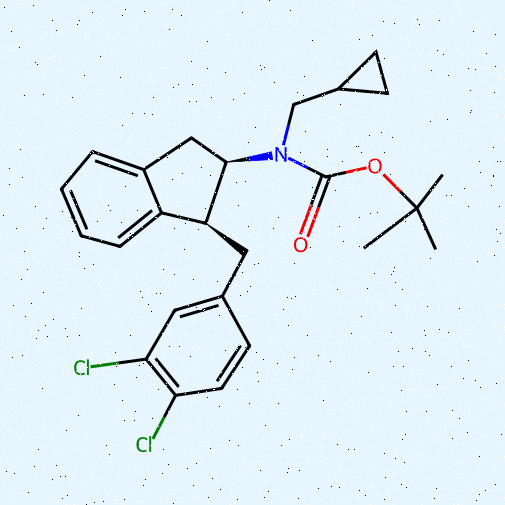 CC(C)(C)OC(=O)N(CC1CC1)[C@@H]1Cc2ccccc2[C@@H]1Cc1ccc(Cl)c(Cl)c1